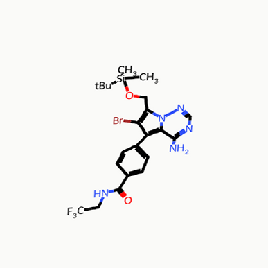 CC(C)(C)[Si](C)(C)OCc1c(Br)c(-c2ccc(C(=O)NCC(F)(F)F)cc2)c2c(N)ncnn12